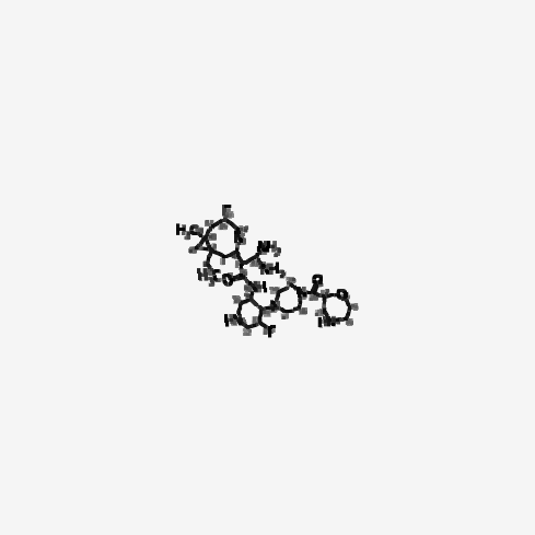 CCC12CC(C(C(=O)NC3CNCC(F)C3N3CCN(C(=O)C4CNCCO4)CC3)C(N)N)/N=C\C(F)CC1(C)C2